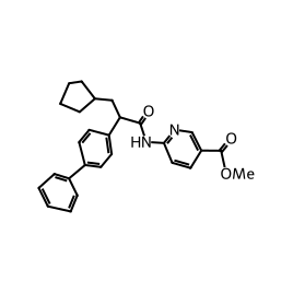 COC(=O)c1ccc(NC(=O)C(CC2CCCC2)c2ccc(-c3ccccc3)cc2)nc1